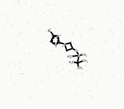 CC(C)(C)[Si](C)(C)OC1CN(c2ncc(Br)s2)C1